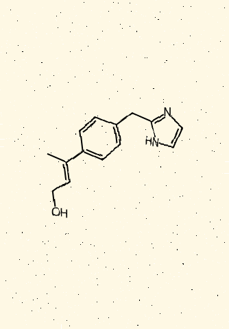 CC(=CCO)c1ccc(Cc2ncc[nH]2)cc1